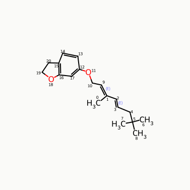 CC(/C=C/CC(C)(C)C)=C\COc1ccc2c(c1)OCC2